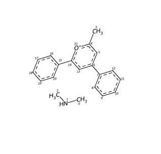 CNC.Cc1cc(-c2ccccc2)cc(-c2ccccc2)[o+]1